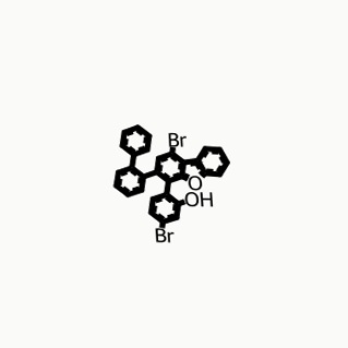 Oc1cc(Br)ccc1-c1c(-c2ccccc2-c2ccccc2)cc(Br)c2c1oc1ccccc12